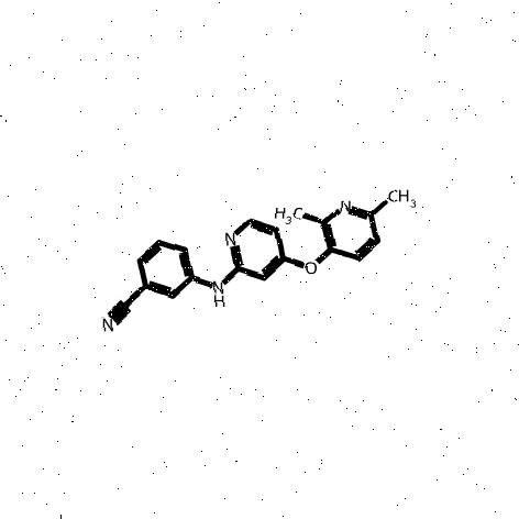 Cc1ccc(Oc2ccnc(Nc3cccc(C#N)c3)c2)c(C)n1